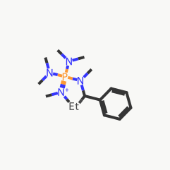 CCC(c1ccccc1)N(C)P(N(C)C)(N(C)C)=[N+](C)C